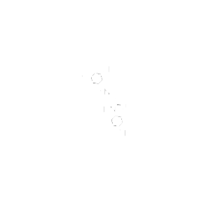 O=C(Nc1ccc(C(F)(F)F)cc1)C1CCCN(C(=O)c2cc(C(F)(F)F)cc(C(F)(F)F)c2)C1